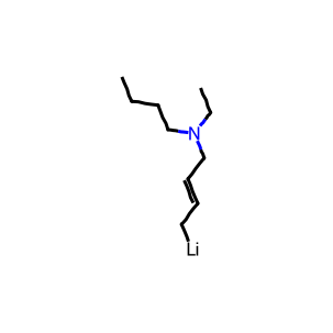 [Li][CH2]C=CCN(CC)CCCC